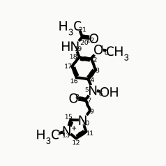 COc1cc(N(O)C(=O)Cn2cc[n+](C)c2)ccc1NC(C)=O